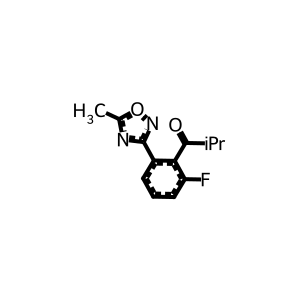 Cc1nc(-c2cccc(F)c2C(=O)C(C)C)no1